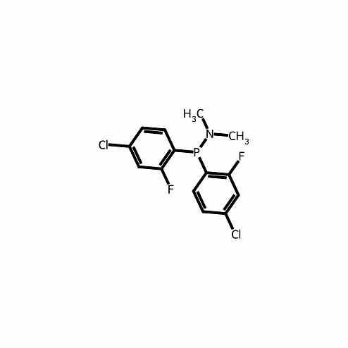 CN(C)P(c1ccc(Cl)cc1F)c1ccc(Cl)cc1F